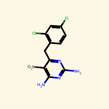 Nc1nc(N)c([N+](=O)[O-])c(Cc2ccc(Cl)cc2Cl)n1